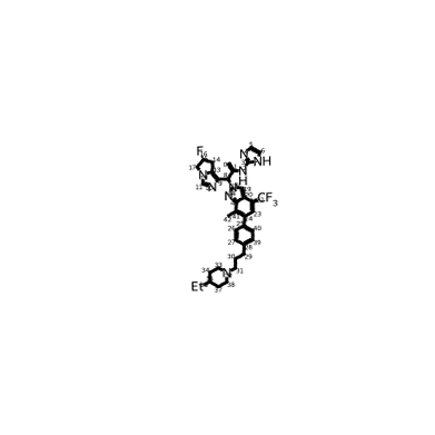 C=C(Nc1ncc[nH]1)C(c1ncn2c1C[C@@H](F)C2)n1cc2c(C(F)(F)F)cc(-c3ccc(CCCN4CCC(CC)CC4)cc3)c(C)c2n1